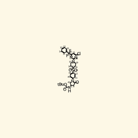 CC(C)(C)OC(=O)NC1CC(=O)N(c2ccc(S(=O)(=O)N3CCN(c4nc(Cl)cc(C(F)(F)c5ccccc5)n4)CC3)cc2)C1